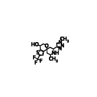 CC1CC2(CC(c3cn(C)nn3)N1)OCC(O)c1sc(C(F)(F)F)cc12